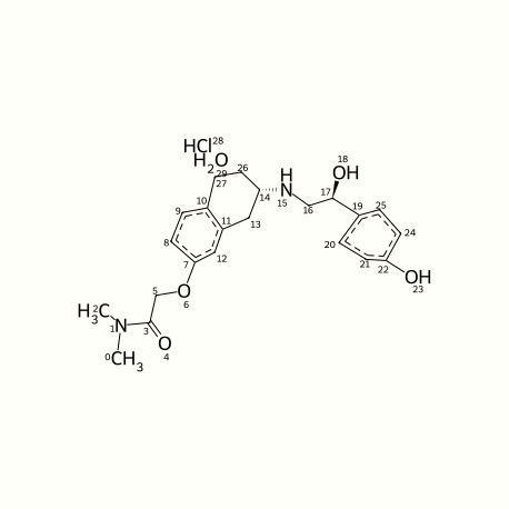 CN(C)C(=O)COc1ccc2c(c1)C[C@@H](NC[C@@H](O)c1ccc(O)cc1)CC2.Cl.O